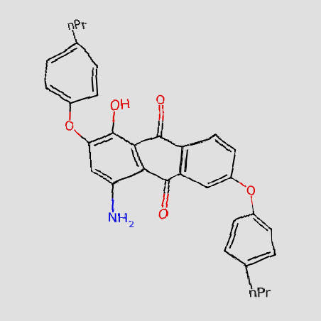 CCCc1ccc(Oc2ccc3c(c2)C(=O)c2c(N)cc(Oc4ccc(CCC)cc4)c(O)c2C3=O)cc1